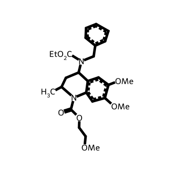 CCOC(=O)N(Cc1ccccc1)C1CC(C)N(C(=O)OCCOC)c2cc(OC)c(OC)cc21